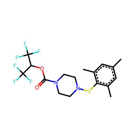 Cc1cc(C)c(SN2CCN(C(=O)OC(C(F)(F)F)C(F)(F)F)CC2)c(C)c1